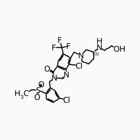 CCS(=O)(=O)c1ccc(Cl)cc1Cn1cnc2c(Cl)c(CN3CCC[C@H](NCCO)C3)c(C(F)(F)F)cc2c1=O